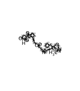 Cc1nnc2n1-c1sc(C#Cc3cnn(CCCC(=O)OCCC#Cc4cccc5c4CN(C4CCC(=O)NC4=O)C5=O)c3)c(Cc3ccccc3)c1COC2